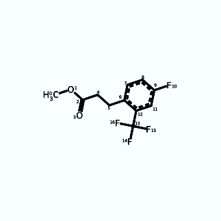 COC(=O)CCc1ccc(F)cc1C(F)(F)F